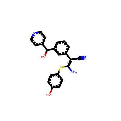 N#C/C(=C(\N)Sc1ccc(O)cc1)c1cccc(C(O)c2ccncc2)c1